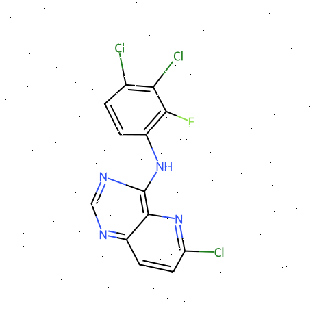 Fc1c(Nc2ncnc3ccc(Cl)nc23)ccc(Cl)c1Cl